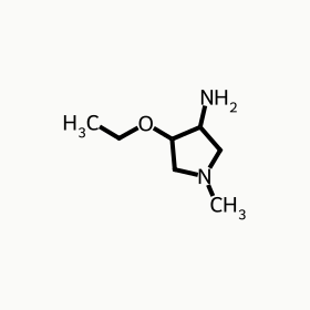 CCOC1CN(C)CC1N